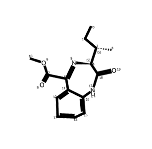 CC[C@H](C)[C@@H]1N=C(C(=O)OC)c2ccccc2NC1=O